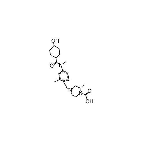 Cc1cc(N(C)C(=O)C2CCC(O)CC2)ccc1CN1CCN(C(=O)O)[C@@H](C)C1